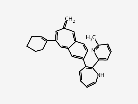 C=C1C=C(C2=CCCCC2)C=c2cc(C3=C(c4cccc(C)n4)NC=CC=C3)ccc2=C1